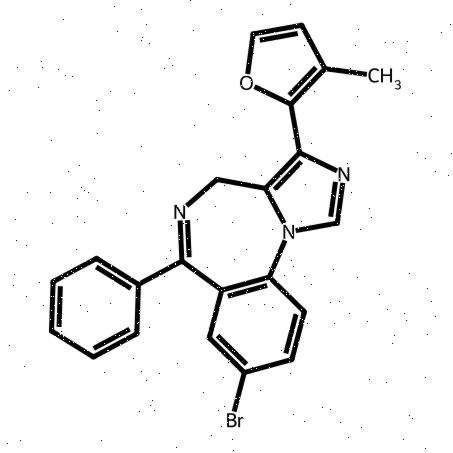 Cc1ccoc1-c1ncn2c1CN=C(c1ccccc1)c1cc(Br)ccc1-2